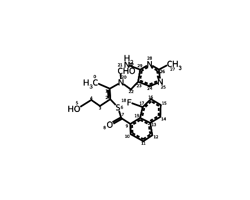 C/C(=C(\CCO)SC(=O)c1cccc2cccc(F)c12)N(C=O)Cc1cnc(C)nc1N